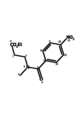 CCOC(=O)CCN(C)C(=O)c1ccc([N+](=O)[O-])cc1